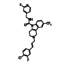 O=C(NCc1ccnc(F)c1)n1c2c(c3cc(C(F)(F)F)ccc31)CN(CC=Cc1ccc(Cl)c(F)c1)CC2